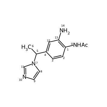 CC(=O)Nc1ccc(C(C)n2ccnc2)cc1N